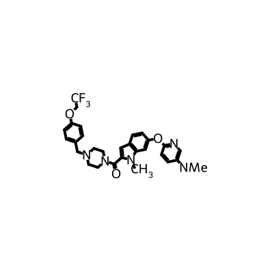 CNc1ccc(Oc2ccc3cc(C(=O)N4CCN(Cc5ccc(OCC(F)(F)F)cc5)CC4)n(C)c3c2)nc1